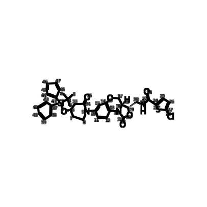 CC(C)(C)[Si](O[C@@H]1CCN(c2ccc3c(c2)OC[C@H]2[C@H](CNC(=O)c4ccc(Cl)s4)OC(=O)N32)C(=O)C1)(c1ccccc1)c1ccccc1